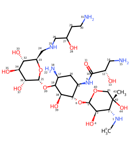 CN[C@@H]1[C@@H](O)[C@@H](O[C@H]2[C@H](NC(=O)[C@@H](O)CN)C[C@H](N)C(O[C@H]3O[C@H](CNCC(O)CCN)[C@@H](O)[C@H](O)[C@H]3O)[C@@H]2O)OC[C@]1(C)O